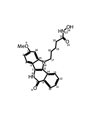 COc1ccc2c3[nH]c(=O)c4ccccc4c3n(CCCCC(=O)NO)c2c1